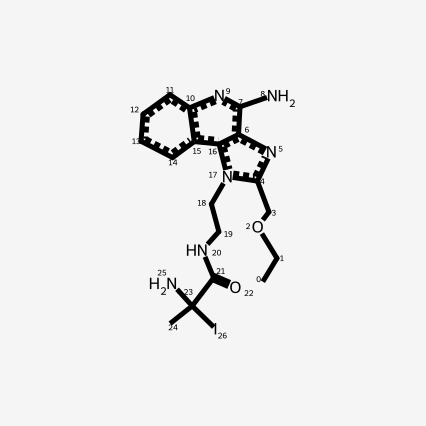 CCOCc1nc2c(N)nc3ccccc3c2n1CCNC(=O)C(C)(N)I